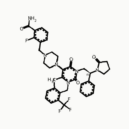 Cc1c(N2CCN(Cc3cccc(C(N)=O)c3F)CC2)c(=O)n(C[C@H](c2ccccc2)N2CCCC2=O)c(=O)n1Cc1c(F)cccc1C(F)(F)F